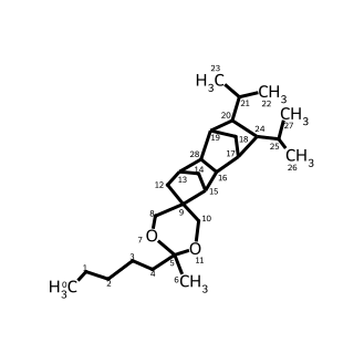 CCCCCC1(C)OCC2(CO1)CC1CC2C2C3CC(C(C(C)C)C3C(C)C)C12